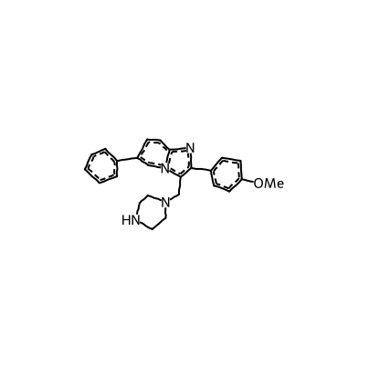 COc1ccc(-c2nc3ccc(-c4ccccc4)cn3c2CN2CCNCC2)cc1